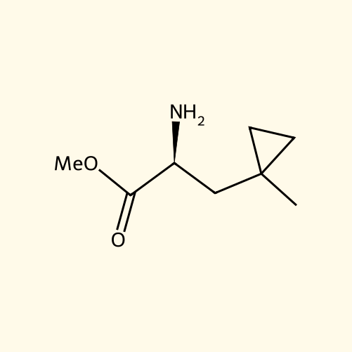 COC(=O)[C@@H](N)CC1(C)CC1